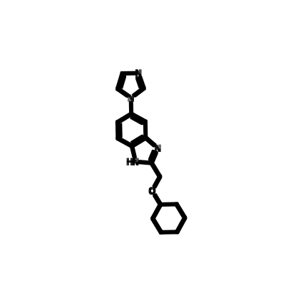 c1cn(-c2ccc3[nH]c(COC4CCCCC4)nc3c2)cn1